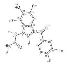 CNC(=O)[C@H](C)c1c(C)n(C(=O)c2ccc(F)c(F)c2)c2cc(F)c(O)c(F)c12